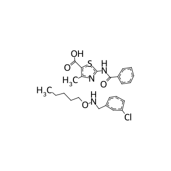 CCCCCONCc1cccc(Cl)c1.Cc1nc(NC(=O)c2ccccc2)sc1C(=O)O